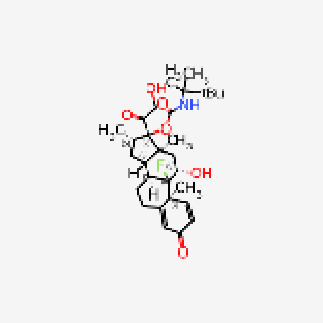 C[C@H]1C[C@H]2[C@@H]3CCC4=CC(=O)C=C[C@]4(C)[C@@]3(F)[C@@H](O)C[C@]2(C)[C@@]1(OC(=O)NC(C)(C)C(C)(C)C)C(=O)CO